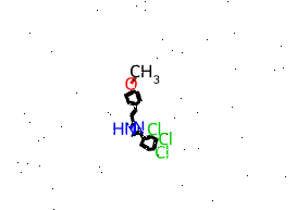 CCOc1ccc(C=Cc2nc(-c3ccc(Cl)c(Cl)c3Cl)c[nH]2)cc1